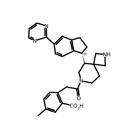 Cc1ccc(CC(=O)N2CCC3(CNC3)C([C@H]3CCc4cc(-c5ncccn5)ccc43)C2)c(C(=O)O)c1